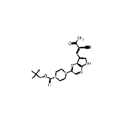 CC(C)(C)COC(=O)N1CCN(c2cnc3[nH]cc(/C=C(\C#N)C(N)=O)c3n2)CC1